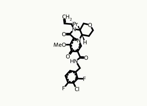 C=CCN1C(=O)c2c(OC)c(=O)c(C(=O)NCc3ccc(F)c(Cl)c3F)cn2[C@H]2CCOC[C@]21C(C)C